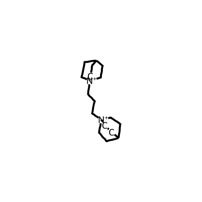 C(C[N+]12CCC(CC1)CC2)C[N+]12CCC(CC1)CC2